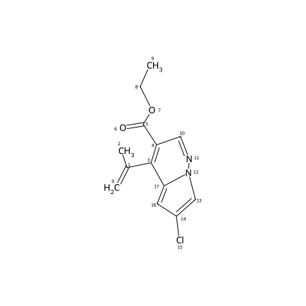 C=C(C)c1c(C(=O)OCC)cnn2cc(Cl)cc12